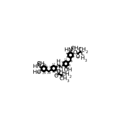 C=C(C)C(=O)Oc1cc(Cc2ccc(NNc3ccc(Cc4ccc(NC)c(O)c4)cc3OC(=O)C(=C)C)c(O)c2)ccc1NC